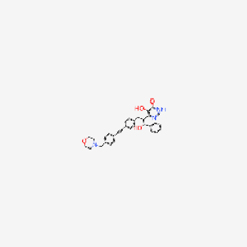 O=c1[nH]cnc(C(Cc2ccc(C#Cc3ccc(CN4CCOCC4)cc3)cc2)C(O)c2ccccc2)c1O